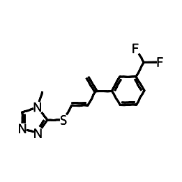 C=C(/C=C/Sc1nncn1C)c1cccc(C(F)F)c1